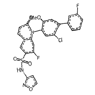 COc1cc(-c2cccc(F)c2)c(Cl)cc1-n1c(=O)ccc2cc(S(=O)(=O)Nc3ccon3)c(F)cc21